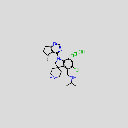 CC(C)NCc1c(Cl)ccc2c1C1(CCNCC1)CN2c1ncnc2c1[C@H](C)CC2.Cl.Cl.Cl